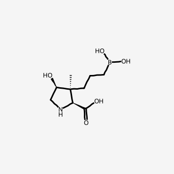 C[C@@]1(CCCB(O)O)[C@H](O)CN[C@@H]1C(=O)O